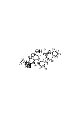 CC[C@@H]1CN(Cc2cc(C(CC(=O)O)c3ccc4c(nnn4CC)c3C)ccc2C)Cc2ccccc2O1